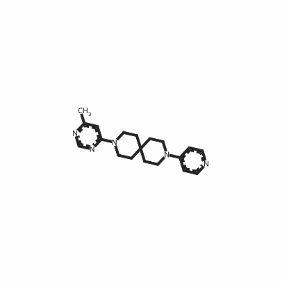 Cc1cc(N2CCC3(CCN(c4ccncc4)CC3)CC2)ncn1